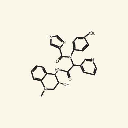 CN1C[C@H](O)[C@H](NC(=O)C(c2cccnc2)N(C(=O)c2c[nH]cn2)c2ccc(C(C)(C)C)cc2)c2ccccc21